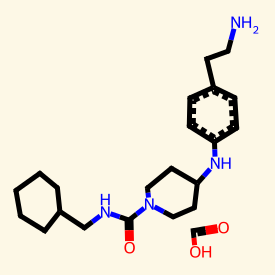 NCCc1ccc(NC2CCN(C(=O)NCC3CCCCC3)CC2)cc1.O=CO